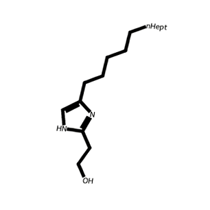 CCCCCCCCCCCCc1c[nH]c(CCO)n1